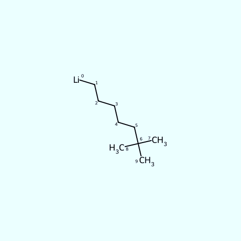 [Li][CH2]CCCCC(C)(C)C